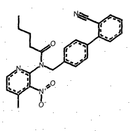 CCCCC(=O)N(Cc1ccc(-c2ccccc2C#N)cc1)c1nccc(C)c1[N+](=O)[O-]